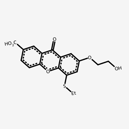 CCSc1cc(OCCO)cc2c(=O)c3cc(C(=O)O)ccc3oc12